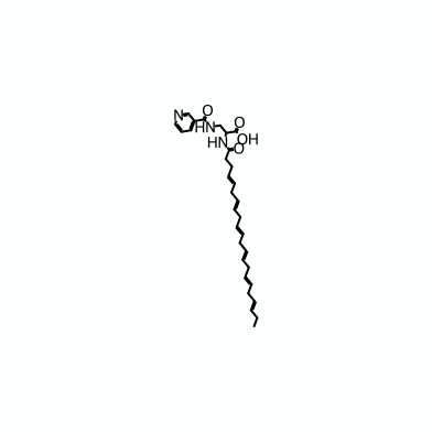 CCC=CCC=CCC=CCC=CCC=CCC=CCCC(=O)NC(CNC(=O)c1cccnc1)C(=O)O